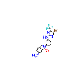 Nc1ccc2c(c1)C(=O)N([C@H]1CCC[C@@H](Nc3ncc(Br)c(C(F)(F)F)n3)C1)C2